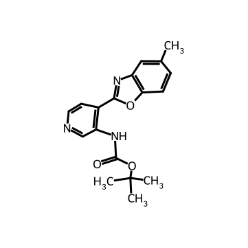 Cc1ccc2oc(-c3ccncc3NC(=O)OC(C)(C)C)nc2c1